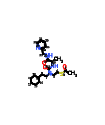 CC(=O)SCCN(CCC1CCCCC1)C(=O)N[C@@H](C)C(=O)NCc1ccccn1